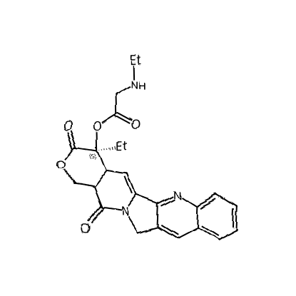 CCNCC(=O)O[C@]1(CC)C(=O)OCC2C(=O)N3Cc4cc5ccccc5nc4C3=CC21